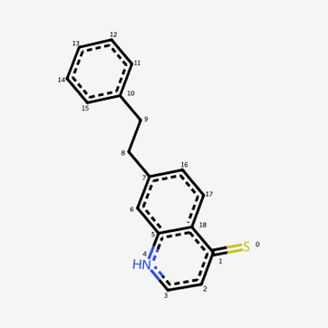 S=c1cc[nH]c2cc(CCc3ccccc3)ccc12